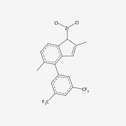 CC1=Cc2c(ccc(C)c2-c2cc(C(F)(F)F)cc(C(F)(F)F)c2)[CH]1[Zr]([Cl])[Cl]